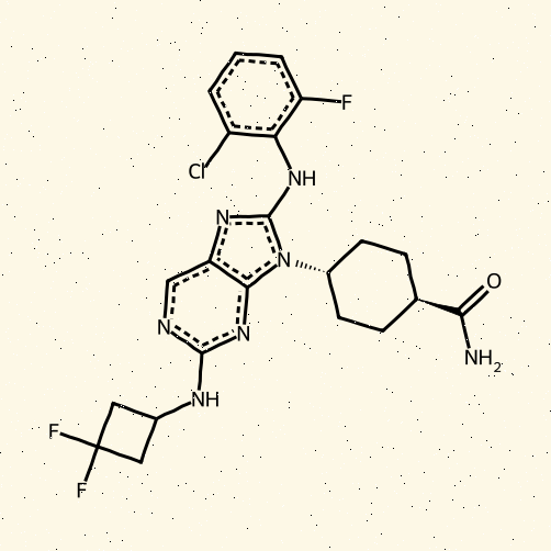 NC(=O)[C@H]1CC[C@H](n2c(Nc3c(F)cccc3Cl)nc3cnc(NC4CC(F)(F)C4)nc32)CC1